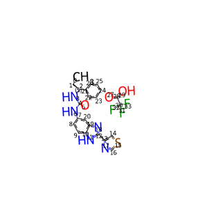 CC[C@H](NC(=O)Nc1ccc2[nH]c(-c3cscn3)nc2c1)c1ccccc1.O=C(O)C(F)(F)F